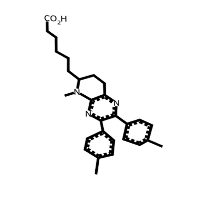 Cc1ccc(-c2nc3c(nc2-c2ccc(C)cc2)N(C)C(CCCCCC(=O)O)CC3)cc1